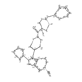 O=C(N1CCC(n2c(-c3ccccn3)nc3cc(Br)ccc32)CC1)C1(F)CCN(Cc2ccncc2)CC1